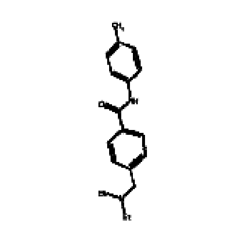 CCN(CC)Cc1ccc(C(=O)Nc2ccc(C)cc2)cc1